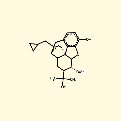 CO[C@H]1C2Oc3c(O)ccc4c3[C@@]23CCN(CC2CC2)C(C4)C3C[C@@H]1C(C)(C)O